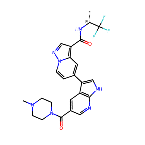 C[C@@H](NC(=O)c1cnn2ccc(-c3c[nH]c4ncc(C(=O)N5CCN(C)CC5)cc34)cc12)C(F)(F)F